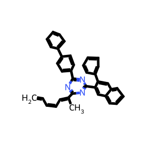 C=C/C=C\C=C(/C)c1nc(-c2ccc(-c3ccccc3)cc2)nc(-c2cc3ccccc3cc2-c2ccccc2)n1